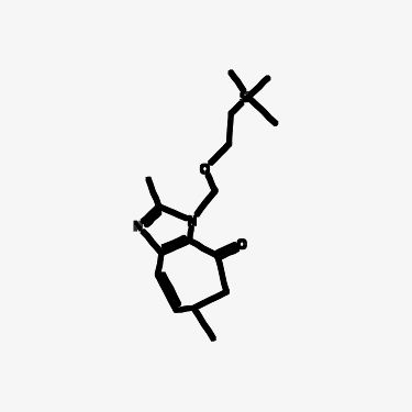 Cc1nc2c(n1COCC[Si](C)(C)C)C(=O)CC(C)C=C2